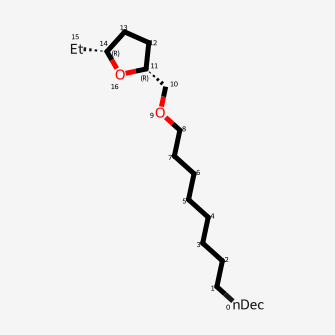 CCCCCCCCCCCCCCCCCCOC[C@H]1CC[C@@H](CC)O1